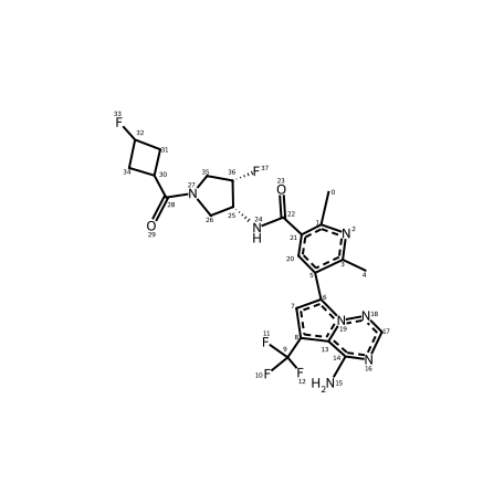 Cc1nc(C)c(-c2cc(C(F)(F)F)c3c(N)ncnn23)cc1C(=O)N[C@@H]1CN(C(=O)C2CC(F)C2)C[C@@H]1F